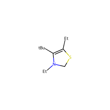 CCC1=C(C(C)(C)C)N(CC)CS1